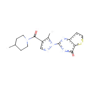 Cc1c(C(=O)N2CCC(C(F)(F)F)CC2)cnn1-c1nc2ccsc2c(=O)[nH]1